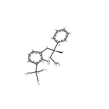 C[C@@](CN)(Cc1cccc(C(F)(F)F)c1Cl)c1ccccc1